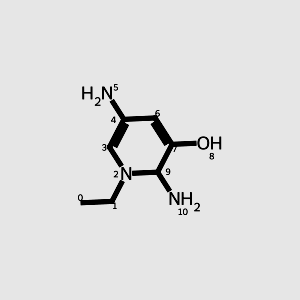 CCN1C=C(N)C=C(O)C1N